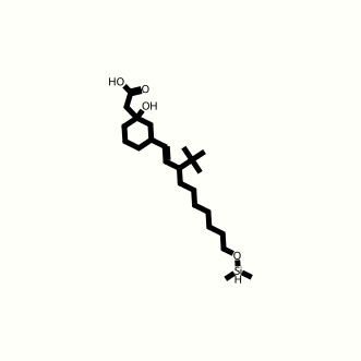 C[SiH](C)OCCCCCCCC(C=CC1CCCC(O)(CC(=O)O)C1)C(C)(C)C